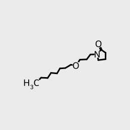 CCCCCCCCOCCCN1CCCC1=O